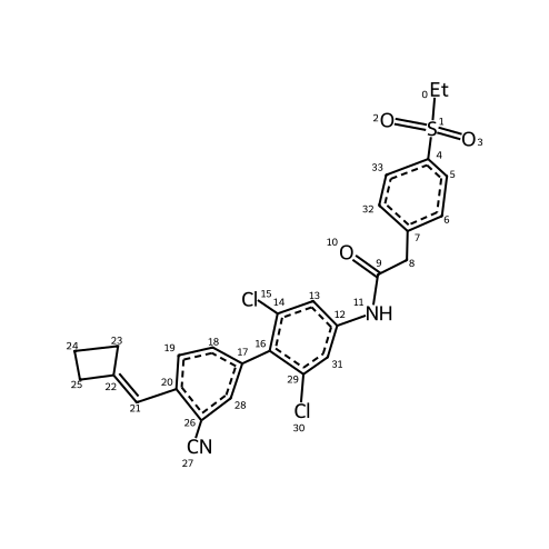 CCS(=O)(=O)c1ccc(CC(=O)Nc2cc(Cl)c(-c3ccc(C=C4CCC4)c(C#N)c3)c(Cl)c2)cc1